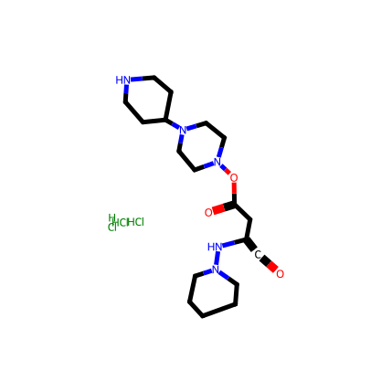 Cl.Cl.Cl.O=C=C(CC(=O)ON1CCN(C2CCNCC2)CC1)NN1CCCCC1